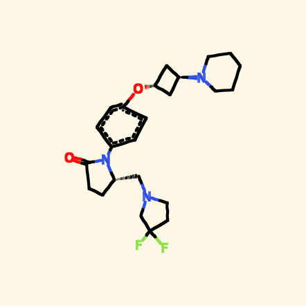 O=C1CC[C@@H](CN2CCC(F)(F)C2)N1c1ccc(O[C@H]2C[C@H](N3CCCCC3)C2)cc1